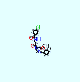 COc1ccccc1CN1CCN(C(=O)CCNC(=O)c2ccc(Cl)cc2)CC1